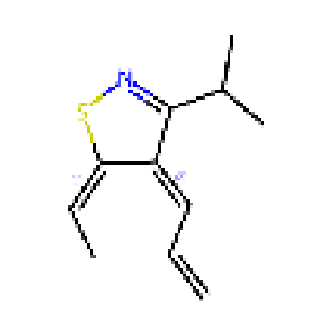 C=C/C=c1/c(C(C)C)ns/c1=C/C